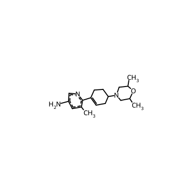 Cc1cc(N)cnc1C1=CCC(N2CC(C)OC(C)C2)CC1